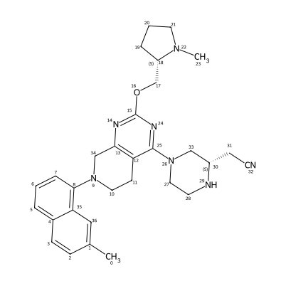 Cc1ccc2cccc(N3CCc4c(nc(OC[C@@H]5CCCN5C)nc4N4CCN[C@@H](CC#N)C4)C3)c2c1